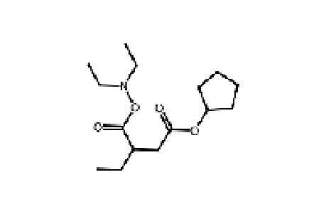 CCC(CC(=O)OC1CCCC1)C(=O)ON(CC)CC